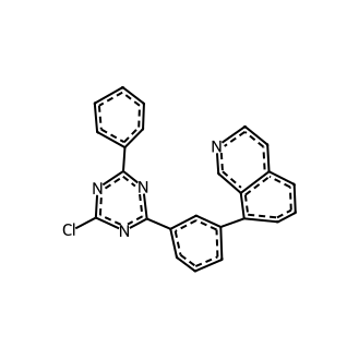 Clc1nc(-c2ccccc2)nc(-c2cccc(-c3cccc4ccncc34)c2)n1